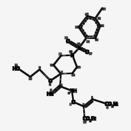 CCOC(=O)C=C(ONC(=N)C1(OCCO)CCN(S(=O)(=O)c2ccc(C)cc2)CC1)C(=O)OCC